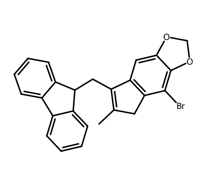 CC1=C(CC2c3ccccc3-c3ccccc32)c2cc3c(c(Br)c2C1)OCO3